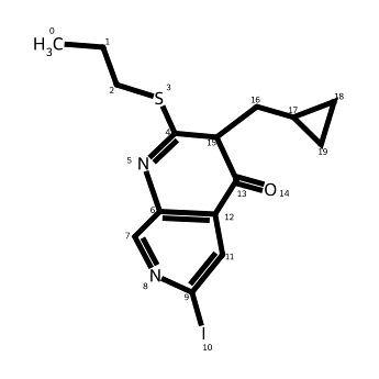 CCCSC1=Nc2cnc(I)cc2C(=O)C1CC1CC1